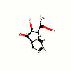 CC(C)(C)C(=O)C1C(=O)C(=O)c2ccccc21